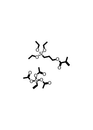 C=C(C)C(=O)OCCC[Si](OCC)(OCC)OCC.C=C[Si](OC(C)=O)(OC(C)=O)OC(C)=O